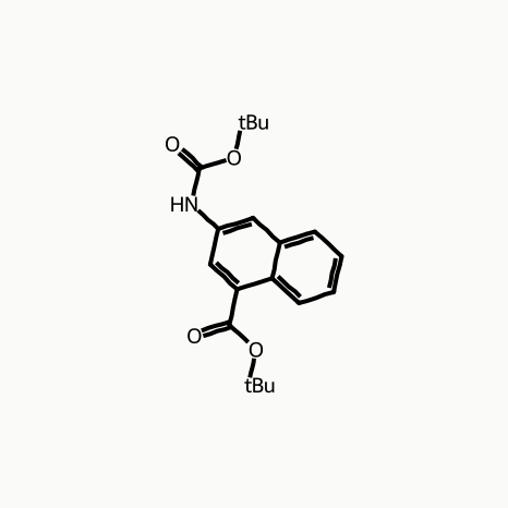 CC(C)(C)OC(=O)Nc1cc(C(=O)OC(C)(C)C)c2ccccc2c1